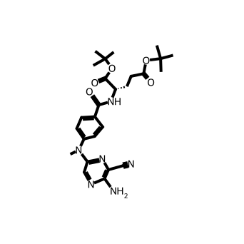 CN(c1ccc(C(=O)N[C@@H](CCC(=O)OC(C)(C)C)C(=O)OC(C)(C)C)cc1)c1cnc(N)c(C#N)n1